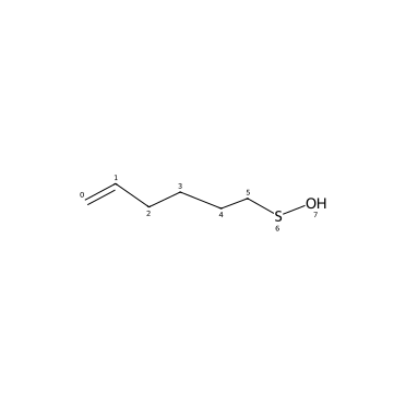 C=CCCCCSO